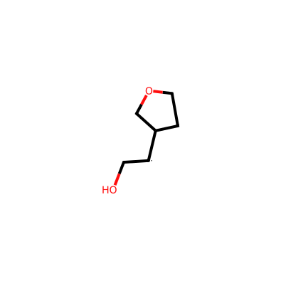 OC[CH]C1CCOC1